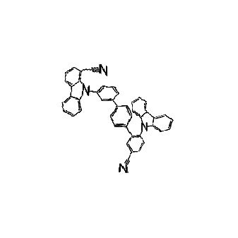 N#Cc1ccc(-n2c3ccccc3c3ccccc32)c(-c2ccc(-c3cccc(-n4c5ccccc5c5cccc(C#N)c54)c3)cc2)c1